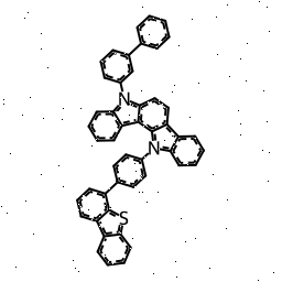 c1ccc(-c2cccc(-n3c4ccccc4c4c3ccc3c5ccccc5n(-c5ccc(-c6cccc7c6sc6ccccc67)cc5)c34)c2)cc1